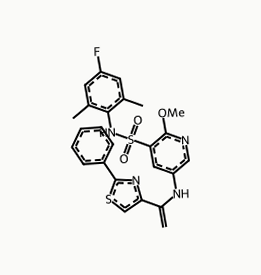 C=C(Nc1cnc(OC)c(S(=O)(=O)Nc2c(C)cc(F)cc2C)c1)c1csc(-c2ccccc2)n1